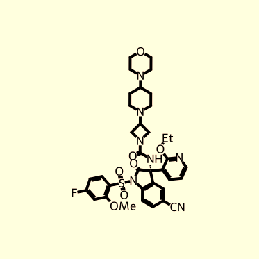 CCOc1ncccc1[C@]1(NC(=O)N2CC(N3CCC(N4CCOCC4)CC3)C2)C(=O)N(S(=O)(=O)c2ccc(F)cc2OC)c2ccc(C#N)cc21